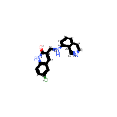 O=c1[nH]c2ccc(Cl)cc2cc1CNc1cccc2ccncc12